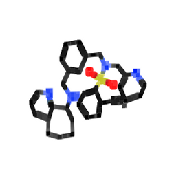 O=[N+]([O-])c1ccccc1S(=O)(=O)N(Cc1cccc(CNC2CCCCc3cccnc32)c1)Cc1ccccn1